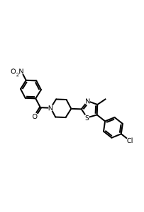 Cc1nc(C2CCN(C(=O)c3ccc([N+](=O)[O-])cc3)CC2)sc1-c1ccc(Cl)cc1